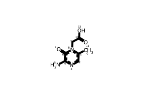 Cc1cnc(N)c(=O)n1CC(=O)O